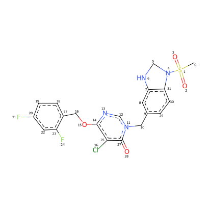 CS(=O)(=O)N1CNc2cc(Cn3cnc(OCc4ccc(F)cc4F)c(Cl)c3=O)ccc21